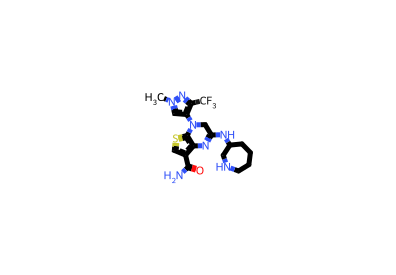 Cn1cc(N2CC(NC3CCCCNC3)=Nc3c(C(N)=O)csc32)c(C(F)(F)F)n1